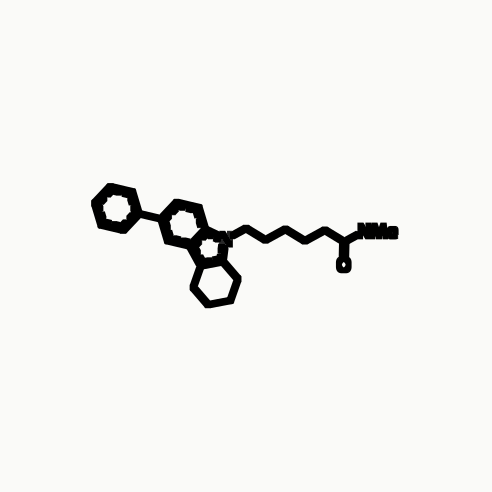 CNC(=O)CCCCCn1c2c(c3cc(-c4ccccc4)ccc31)CCCC2